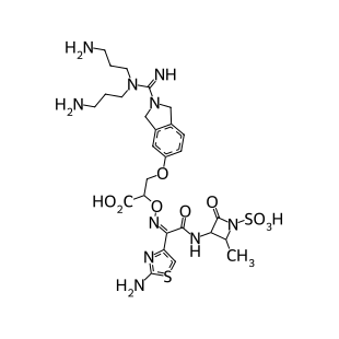 CC1C(NC(=O)/C(=N\OC(COc2ccc3c(c2)CN(C(=N)N(CCCN)CCCN)C3)C(=O)O)c2csc(N)n2)C(=O)N1S(=O)(=O)O